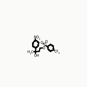 CC(O)(CCOS(=O)(=O)c1ccc(C(F)(F)F)cc1)c1ccc([N+](=O)[O-])cc1